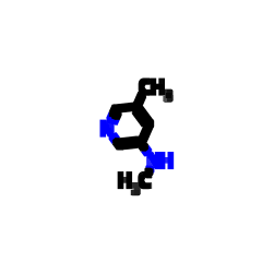 CNc1cncc(C)c1